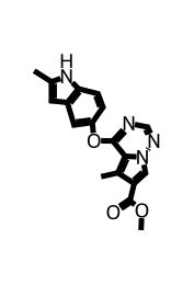 COC(=O)c1cn2ncnc(Oc3ccc4[nH]c(C)cc4c3)c2c1C